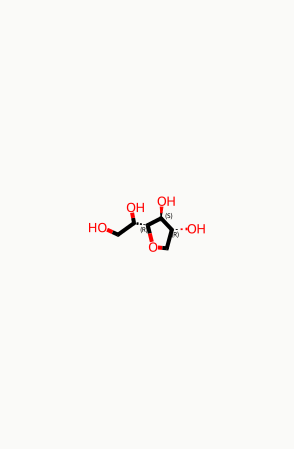 OCC(O)[C@H]1OC[C@@H](O)[C@@H]1O